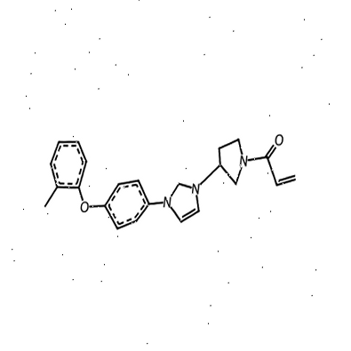 C=CC(=O)N1CCC(N2C=CN(c3ccc(Oc4ccccc4C)cc3)C2)C1